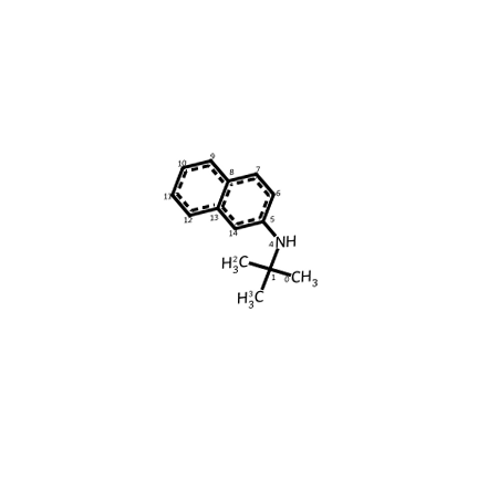 CC(C)(C)Nc1ccc2ccccc2c1